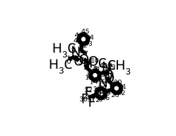 CCC(=O)N(C)C(COC(=O)Cc1ccc(NC(=O)c2ccccc2-c2ccc(C(F)(F)F)cc2)c(C(=O)N(C)C)c1)c1ccccc1